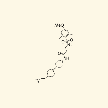 COc1cc(C)c(S(=O)(=O)N(C)CCC(=O)N[C@H]2CC[C@H](N3CCC(CCN(C)C)CC3)CC2)c(C)c1